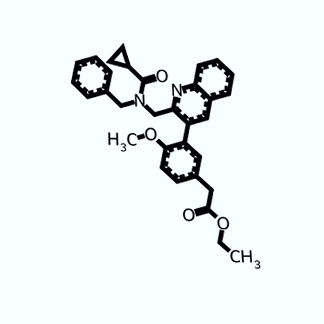 CCOC(=O)Cc1ccc(OC)c(-c2cc3ccccc3nc2CN(Cc2ccccc2)C(=O)C2CC2)c1